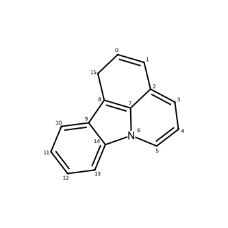 C1=Cc2cccn3c2c(c2ccccc23)C1